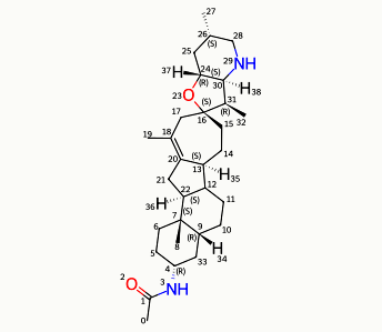 CC(=O)N[C@@H]1CC[C@@]2(C)[C@H](CCC3[C@@H]4CC[C@@]5(CC(C)=C4C[C@@H]32)O[C@@H]2C[C@H](C)CN[C@H]2[C@H]5C)C1